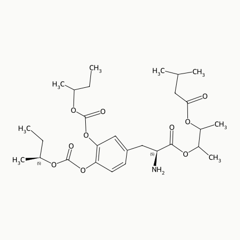 CCC(C)OC(=O)Oc1cc(C[C@H](N)C(=O)OC(C)C(C)OC(=O)CC(C)C)ccc1OC(=O)O[C@@H](C)CC